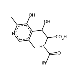 Cc1cnc(C)c(O)c1C(O)C(NC(=O)C(C)C)C(=O)O